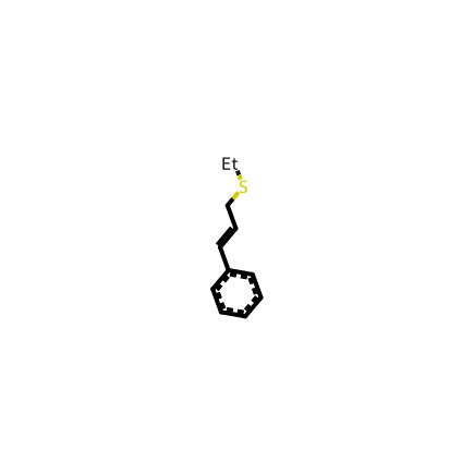 CCSCC=Cc1ccccc1